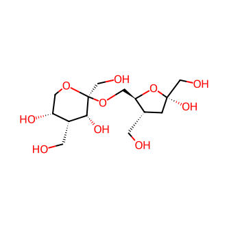 OC[C@H]1C[C@](O)(CO)O[C@@H]1CO[C@]1(CO)OC[C@@H](O)[C@@H](CO)[C@H]1O